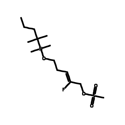 CCCC(C)(C)[Si](C)(C)OCC/C=C(\F)COS(C)(=O)=O